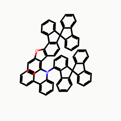 c1ccc(-c2ccccc2N(c2cccc3c2-c2ccccc2C32c3ccccc3-c3ccccc32)c2cccc3oc4c5c(ccc4c23)C2(c3ccccc3-c3ccccc32)c2ccccc2-5)cc1